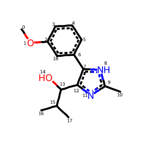 COc1cccc(-c2[nH]c(C)nc2C(O)C(C)C)c1